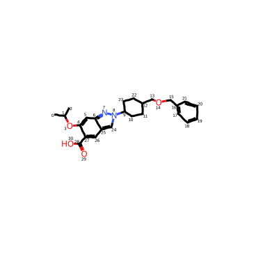 CC(C)Oc1cc2nn(C3CCC(COCc4ccccc4)CC3)cc2cc1C(=O)O